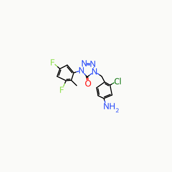 Cc1c(F)cc(F)cc1-n1nnn(Cc2ccc(N)cc2Cl)c1=O